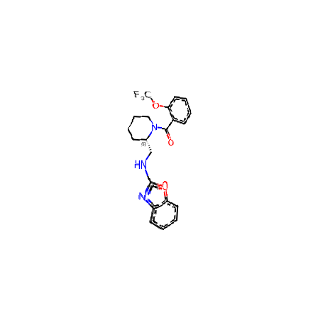 O=C(c1ccccc1OC(F)(F)F)N1CCCC[C@H]1CNc1nc2ccccc2o1